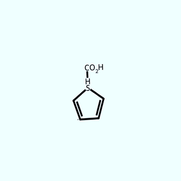 O=C(O)[SH]1C=[C]C=C1